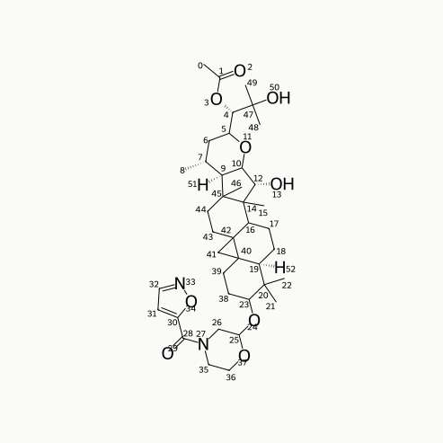 CC(=O)O[C@@H](C1C[C@@H](C)[C@H]2C(O1)[C@H](O)C1(C)C3CC[C@H]4C(C)(C)C(OC5CN(C(=O)c6ccno6)CCO5)CCC45CC35CCC21C)C(C)(C)O